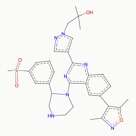 Cc1noc(C)c1-c1ccc2nc(-c3cnn(CC(C)(C)O)c3)nc(N3CCNCC3c3cccc(S(C)(=O)=O)c3)c2c1